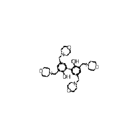 Oc1c(CN2CCOCC2)cc(CN2CCOCC2)cc1-c1cc(CN2CCOCC2)cc(CN2CCOCC2)c1O